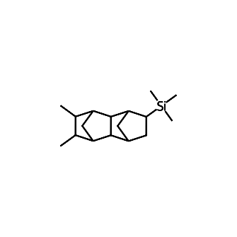 CC1C(C)C2CC1C1C3CC(C21)C([Si](C)(C)C)C3